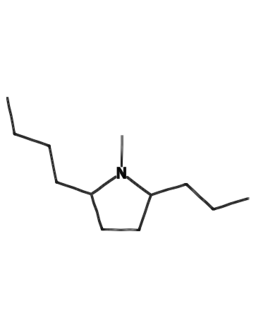 CCCCC1CCC(CCC)N1C